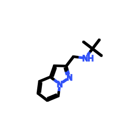 CC(C)(C)NCc1cc2ccccn2n1